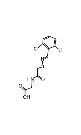 O=C(O)CNC(=O)CON=Cc1c(Cl)cccc1Cl